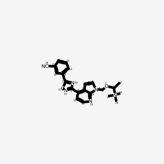 CC(OCn1ccc2c(-c3noc(-c4cccc(C#N)c4)n3)ccnc21)[Si](C)(C)C